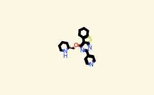 c1cc(-c2nc(OC[C@@H]3CCCCN3)c3c4c(sc3n2)CCCC4)ccn1